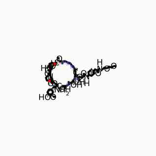 COCCOCCNC(=O)CN1CCC(NC(=O)CO/N=C2\[C@H](C)C[C@H](C)/C=C/C=C/C=C(\C)[C@@H](OC)C[C@@H]3CC[C@@H](C)[C@@](O)(O3)C(=O)C(=O)N3CCCC[C@H]3C(=O)O[C@H]([C@H](N)C[C@@H]3CC[C@@H](O)[C@H](OC)C3)C[C@@H](O)[C@H](C)/C=C(\C)[C@@H](O)[C@H]2O)CC1